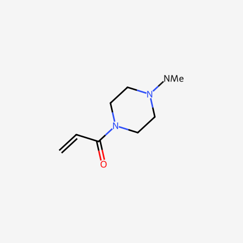 C=CC(=O)N1CCN(NC)CC1